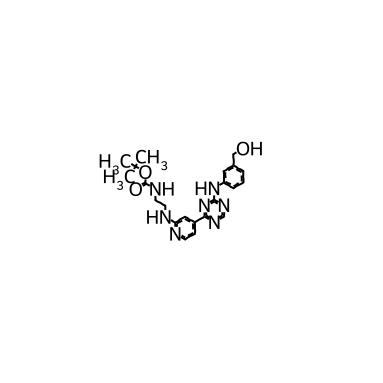 CC(C)(C)OC(=O)NCCNc1cc(-c2ncnc(Nc3cccc(CO)c3)n2)ccn1